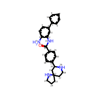 Nc1ccc(-c2ccccc2)cc1NC(=O)c1ccc(C2CC3(CCCN3)CCN2)cc1